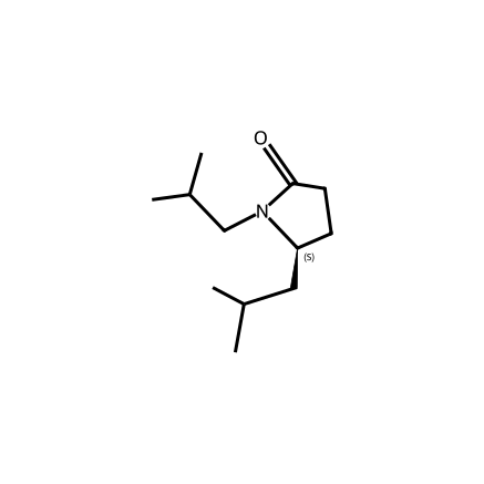 CC(C)C[C@@H]1CCC(=O)N1CC(C)C